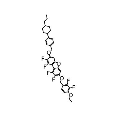 CCCC1CCC(c2ccc(COc3cc4oc5cc(OCc6ccc(OCC)c(F)c6F)c(F)c(F)c5c4c(F)c3F)cc2)CC1